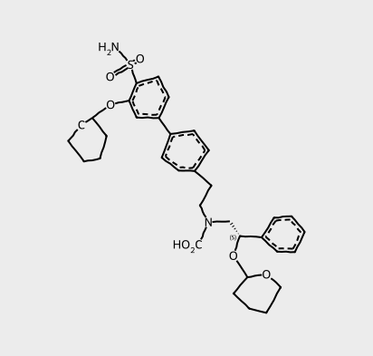 NS(=O)(=O)c1ccc(-c2ccc(CCN(C[C@@H](OC3CCCCO3)c3ccccc3)C(=O)O)cc2)cc1OC1CCCCC1